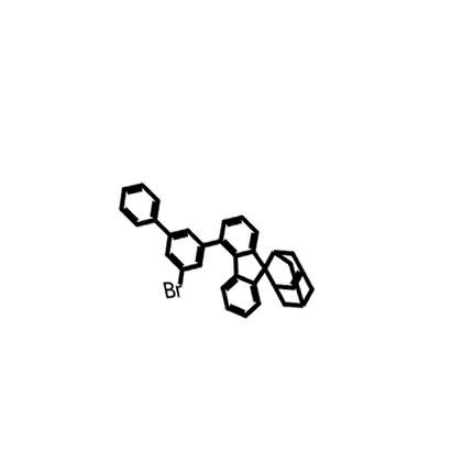 Brc1cc(-c2ccccc2)cc(-c2cccc3c2-c2ccccc2C32C3C=C4CC(C3)CC2C4)c1